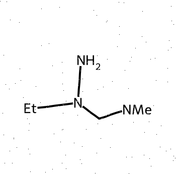 CCN(N)CNC